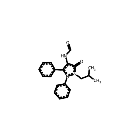 CC(C)Cn1c(=O)c(NC=O)c(-c2ccccc2)n1-c1ccccc1